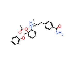 CC(=O)OC1(COc2ccccc2)C=CC=CC1N[C@H](C)CCc1ccc(C(N)=O)cc1